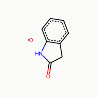 O=C1Cc2ccccc2N1.[O]